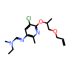 C=CCOCC(C)Oc1nc(C)c(N=CN(C)CC)cc1Cl